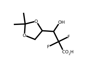 CC1(C)OCC(C(O)C(F)(F)C(=O)O)O1